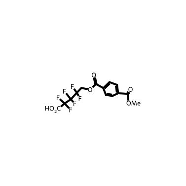 COC(=O)c1ccc(C(=O)OCC(F)(F)C(F)(F)C(F)(F)C(=O)O)cc1